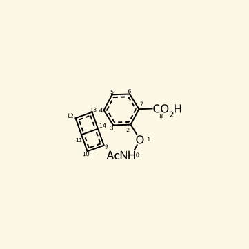 CC(=O)NOc1ccccc1C(=O)O.c1cc2ccc1-2